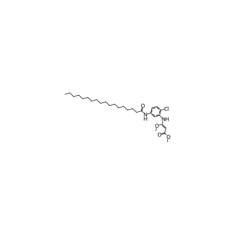 CCCCCCCCCCCCCCCCCC(=O)Nc1ccc(Cl)c(NC(=CC(=O)OC)OC)c1